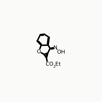 CCOC(=O)C1=C2C(=NO)c3ccccc3OC12